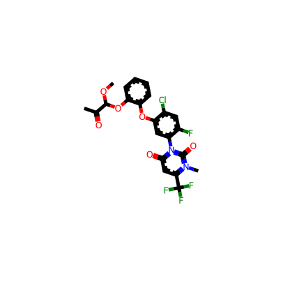 COC(Oc1ccccc1Oc1cc(-n2c(=O)cc(C(F)(F)F)n(C)c2=O)c(F)cc1Cl)C(C)=O